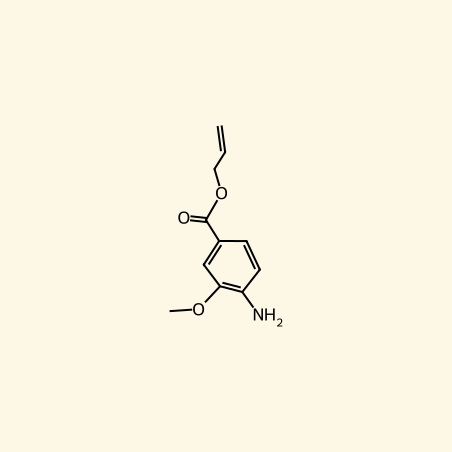 C=CCOC(=O)c1ccc(N)c(OC)c1